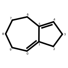 C1=C2CCC=C2CCCC1